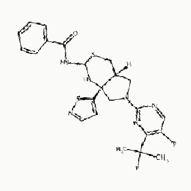 CC(C)(F)c1nc(N2C[C@H]3CSC(NC(=O)c4ccccc4)N[C@@]3(c3ccns3)C2)ncc1F